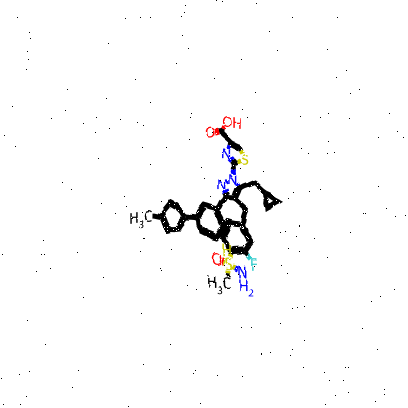 Cc1ccc(-c2cccc(-c3nn(-c4nc(C(=O)O)cs4)c(CC4CC4)c3Cc3ccc([SH](C)(N)=O)c(F)c3)c2)cc1